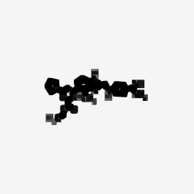 CCOC(=O)CN[C@H](CC(=O)N1CCCC1)c1ccc2[nH]c(CNc3ccc(C(=N)N)cc3)nc2c1C